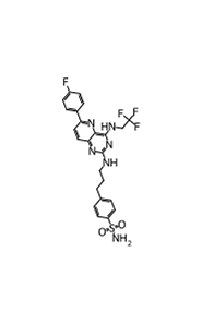 NS(=O)(=O)c1ccc(CCCNc2nc(NCC(F)(F)F)c3nc(-c4ccc(F)cc4)ccc3n2)cc1